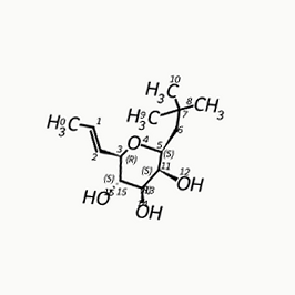 CC=C[C@H]1O[C@@H](CC(C)(C)C)[C@@H](O)[C@@H](O)[C@@H]1O